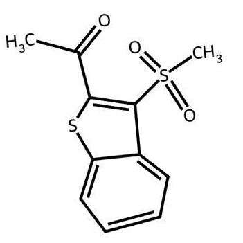 CC(=O)c1sc2ccccc2c1S(C)(=O)=O